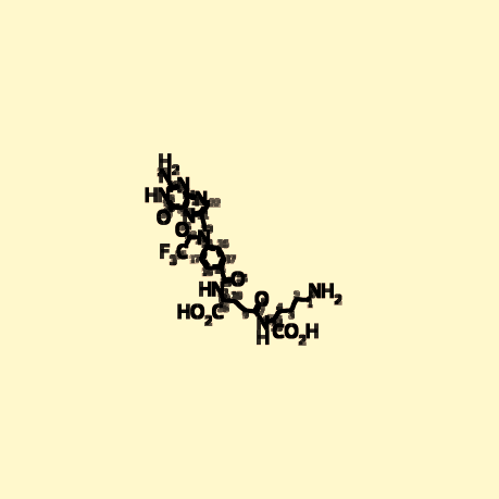 NCCCC[C@H](NC(=O)CC[C@@H](NC(=O)c1ccc(N(Cc2cnc3nc(N)[nH]c(=O)c3n2)C(=O)C(F)(F)F)cc1)C(=O)O)C(=O)O